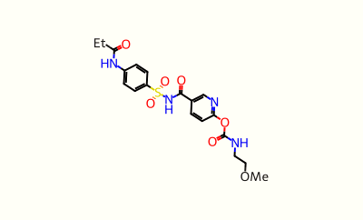 CCC(=O)Nc1ccc(S(=O)(=O)NC(=O)c2ccc(OC(=O)NCCOC)nc2)cc1